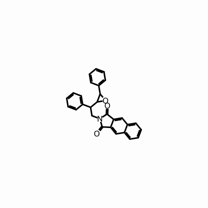 O=C1c2cc3ccccc3cc2C(=O)N1CC(c1ccccc1)C1OC1c1ccccc1